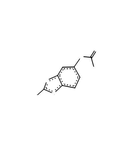 O=C(Cl)Oc1ccc2nc(Cl)sc2c1